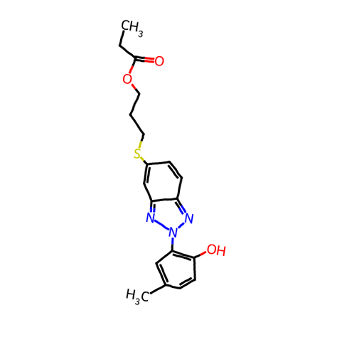 CCC(=O)OCCCSc1ccc2nn(-c3cc(C)ccc3O)nc2c1